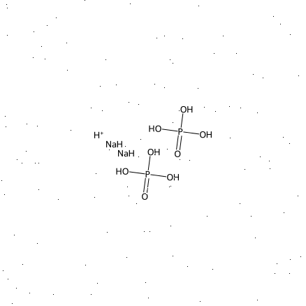 O=P(O)(O)O.O=P(O)(O)O.[H+].[NaH].[NaH]